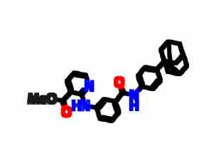 COC(=O)c1cccnc1Nc1cccc(C(=O)Nc2ccc(C34CC5CC(CC(C5)C3)C4)cc2)c1